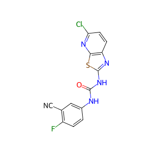 N#Cc1cc(NC(=O)Nc2nc3ccc(Cl)nc3s2)ccc1F